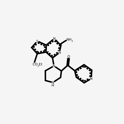 CCOC(=O)c1csc2nc(N)nc(N3CCNCC3C(=O)c3ccncc3)c12